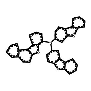 c1ccc2c(c1)ccc1sc3c(N(c4ccc5c(c4)sc4ccccc45)c4ccc5sc6ccccc6c5c4)cccc3c12